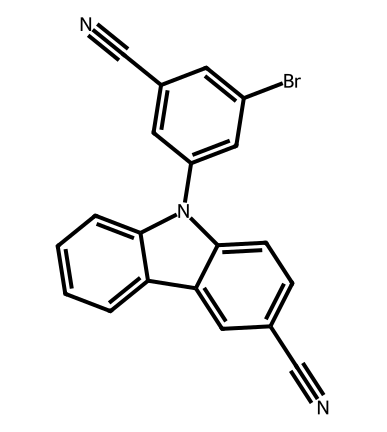 N#Cc1cc(Br)cc(-n2c3ccccc3c3cc(C#N)ccc32)c1